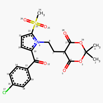 CC1(C)OC(=O)C(CCn2c(C(=O)c3ccc(Cl)cc3)ccc2S(C)(=O)=O)C(=O)O1